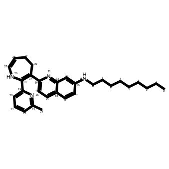 CCCCCCCCCNc1ccc2ccc(C3=C(c4cccc(C)n4)NC=CCC3)nc2c1